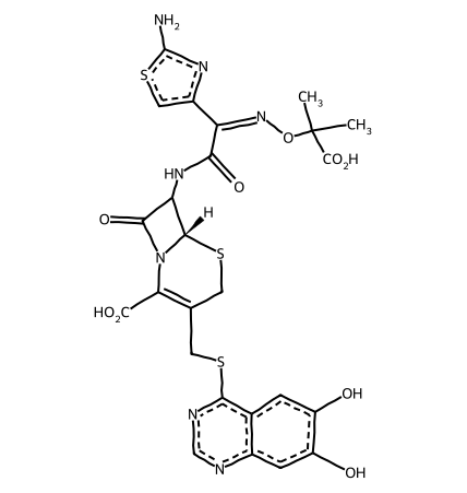 CC(C)(O/N=C(\C(=O)NC1C(=O)N2C(C(=O)O)=C(CSc3ncnc4cc(O)c(O)cc34)CS[C@@H]12)c1csc(N)n1)C(=O)O